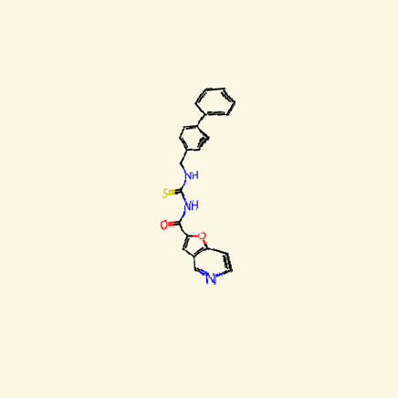 O=C(NC(=S)NCc1ccc(-c2ccccc2)cc1)c1cc2cnccc2o1